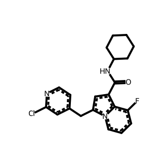 O=C(NC1CCCCC1)c1cc(Cc2ccnc(Cl)c2)n2cccc(F)c12